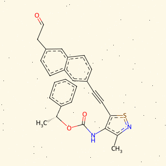 Cc1nsc(C#Cc2ccc3cc(CC=O)ccc3c2)c1NC(=O)O[C@H](C)c1ccccc1